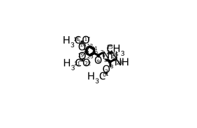 CCOCc1cn(CC(=O)c2ccc(OC(C)=O)c(OC(C)=O)c2)c(C)nc1=N